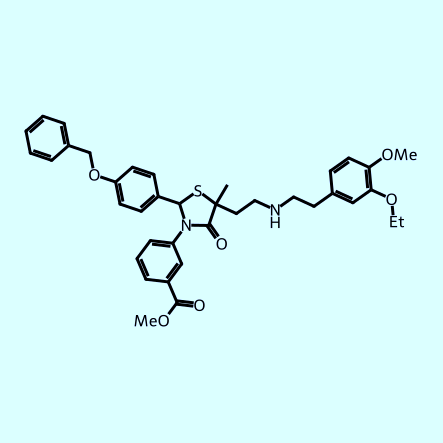 CCOc1cc(CCNCCC2(C)SC(c3ccc(OCc4ccccc4)cc3)N(c3cccc(C(=O)OC)c3)C2=O)ccc1OC